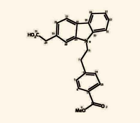 COC(=O)c1ccc(CCn2c3ccccc3c3ccc(CC(=O)O)cc32)cc1